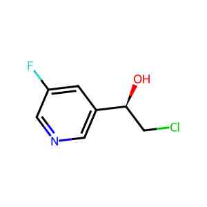 O[C@@H](CCl)c1cncc(F)c1